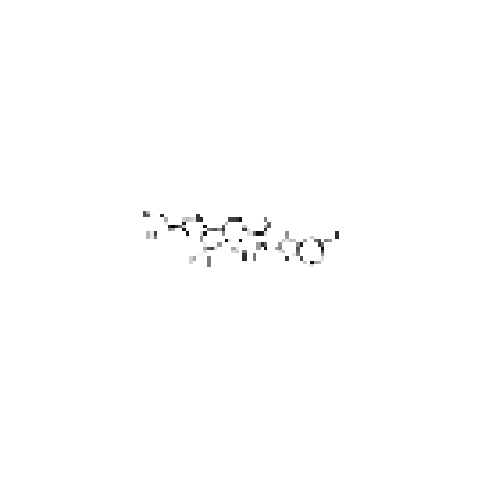 C[C@@H]1CN(c2ncc([C@H](O)CO)cc2C(F)(F)F)CCN1C(=O)Nc1nc2ccc(F)cc2s1